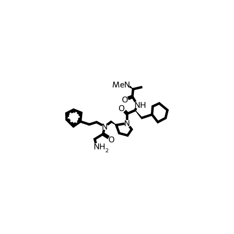 CN[C@@H](C)C(=O)N[C@@H](CC1CCCCC1)C(=O)N1CCC[C@H]1CN(CCc1ccccc1)C(=O)CN